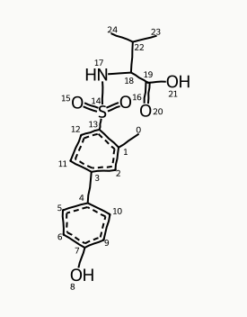 Cc1cc(-c2ccc(O)cc2)ccc1S(=O)(=O)NC(C(=O)O)C(C)C